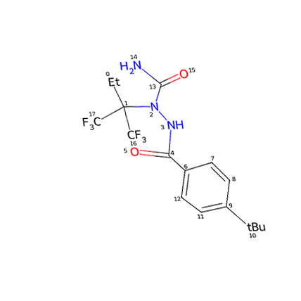 CCC(N(NC(=O)c1ccc(C(C)(C)C)cc1)C(N)=O)(C(F)(F)F)C(F)(F)F